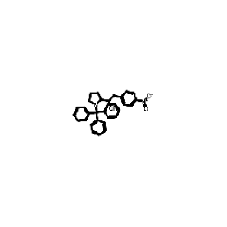 O=[N+]([O-])c1ccc(C[C@@H](O)C2CCCN2C(c2ccccc2)(c2ccccc2)c2ccccc2)cc1